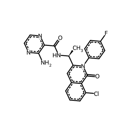 C[C@H](NC(=O)c1nccnc1N)c1cc2cccc(Cl)c2c(=O)n1-c1ccc(F)cc1